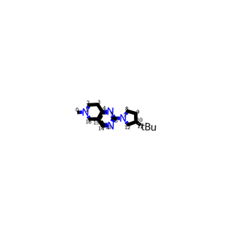 CN1CCc2nc(N3CCC(C(C)(C)C)C3)ncc2C1